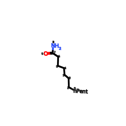 [CH2]CCCCCCCCCCC(N)=O